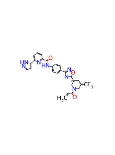 C=CC(=O)N1C[C@@H](c2nc(-c3ccc(NC(=O)c4cccc(-c5ccn[nH]5)n4)cc3)no2)C[C@@H](C(F)(F)F)C1